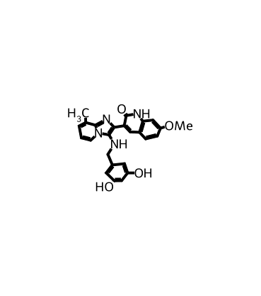 COc1ccc2cc(-c3nc4c(C)cccn4c3NCc3cc(O)cc(O)c3)c(=O)[nH]c2c1